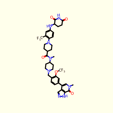 CN(C(=O)C1CCN(c2ccc(NC3CCC(=O)NC3=O)cc2C(F)(F)F)CC1)C1CCN(Cc2ccc(-c3cn(C)c(=O)c4[nH]ncc34)cc2OC(F)(F)F)CC1